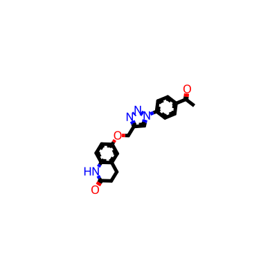 CC(=O)c1ccc(-n2cc(COc3ccc4c(c3)CCC(=O)N4)nn2)cc1